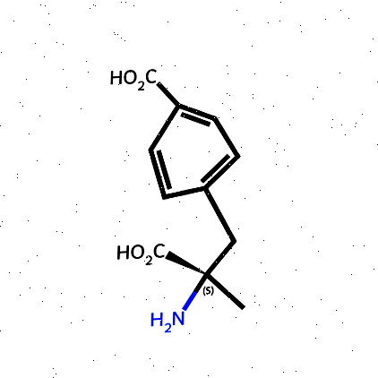 C[C@](N)(Cc1ccc(C(=O)O)cc1)C(=O)O